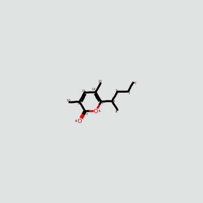 CCCC(C)c1oc(=O)c(C)cc1C